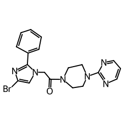 O=C(Cn1cc(Br)nc1-c1ccccc1)N1CCN(c2ncccn2)CC1